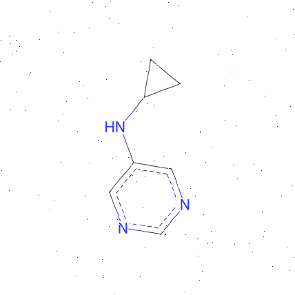 [c]1ncc(NC2CC2)cn1